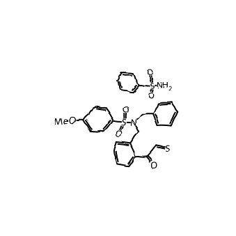 COc1ccc(S(=O)(=O)N(Cc2ccccc2)Cc2ccccc2C(=O)C=S)cc1.NS(=O)(=O)c1ccccc1